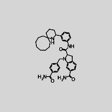 NC(=O)c1ccc(CN2c3cc(C(N)=O)ccc3CC2C(=O)Nc2cccc(C3CCCC4(CCCCCCCC4)N3)c2)cc1